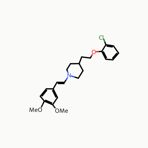 COc1ccc(C=CN2CCC(CCOc3ccccc3Cl)CC2)cc1OC